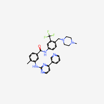 Cc1ccc(C(=O)Nc2ccc(CN3CCN(C)CC3)c(C(F)(F)F)c2)cc1Nc1nccc(-c2cccnc2)n1